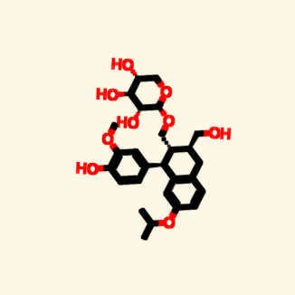 COc1cc([C@@H]2c3cc(OC(C)C)ccc3C[C@H](CO)[C@H]2CO[C@@H]2OC[C@@H](O)[C@H](O)[C@H]2O)ccc1O